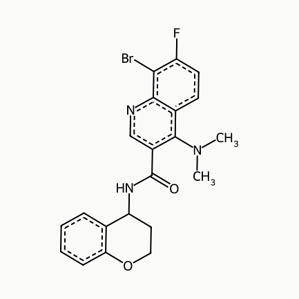 CN(C)c1c(C(=O)NC2CCOc3ccccc32)cnc2c(Br)c(F)ccc12